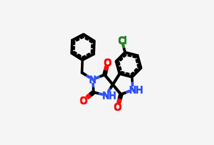 O=C1NC2(C(=O)Nc3ccc(Cl)cc32)C(=O)N1Cc1ccccc1